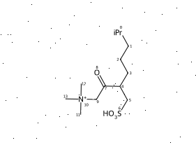 CC(C)CCCC(CS(=O)(=O)O)C(=O)C[N+](C)(C)C